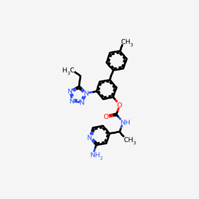 CCc1nnnn1-c1cc(OC(=O)NC(C)c2ccnc(N)c2)cc(-c2ccc(C)cc2)c1